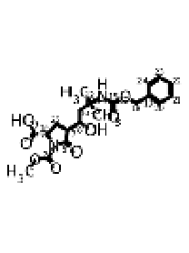 COC(=O)N1C(=O)C(C(O)CC(C)(C)NC(=O)OCc2ccccc2)C[C@H]1C(=O)O